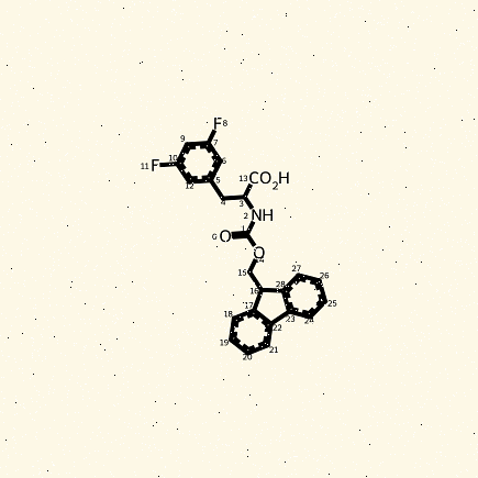 O=C(NC(Cc1cc(F)cc(F)c1)C(=O)O)OCC1c2ccccc2-c2ccccc21